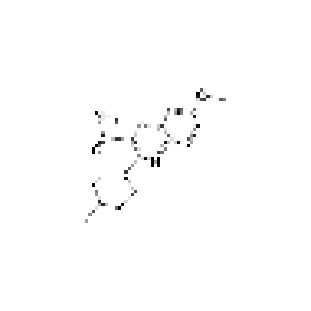 COc1ccc2nc(C3CCC(C)CC3)c(C(N)=O)cc2c1